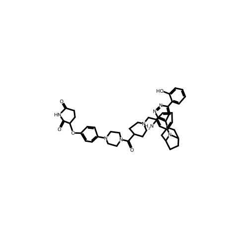 Nc1nnc(-c2ccccc2O)cc1N1CC2CCC(C1)N2c1cccc(CN2CCC(C(=O)N3CCN(c4ccc(OC5CCC(=O)NC5=O)cc4)CC3)CC2)c1